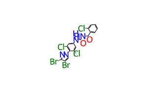 O=C(NC(=O)c1ccccc1Cl)Nc1cc(Cl)c(-n2cc(Br)c(Br)n2)c(Cl)c1